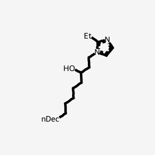 CCCCCCCCCCCCCCCC(O)CCn1ccnc1CC